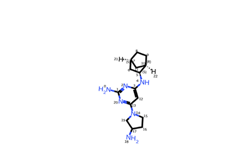 Nc1nc(N[C@H]2C[C@H]3CC[C@@H]2C3)cc(N2CCC(N)C2)n1